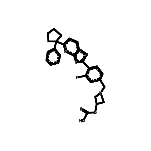 O=C(O)OC1CN(Cc2ccc(-c3nc4ccc(C5(c6ccccc6)CCCC5)nc4s3)c(F)c2)C1